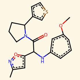 COc1cccc(NC(C(=O)N2CCCC2c2ccsc2)c2cc(C)no2)c1